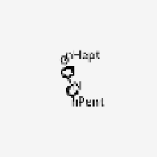 CCCCCCCOc1ccc(-c2ccc(CCCCC)cn2)cc1